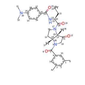 Cc1cc(C)cc(C(=O)N2CC(=O)[C@@H]3[C@H]2CCN3C(=O)[C@H](CC(C)C)NC(=O)c2ccc(N(C)C)cc2)c1